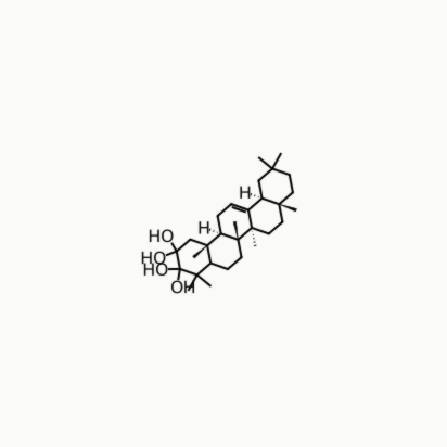 CC1(C)CC[C@]2(C)CC[C@]3(C)C(=CC[C@@H]4[C@@]5(C)CC(O)(O)C(O)(O)C(C)(C)C5CC[C@]43C)[C@H]2C1